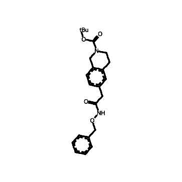 CC(C)(C)OC(=O)N1CCc2cc(CC(=O)NOCc3ccccc3)ccc2C1